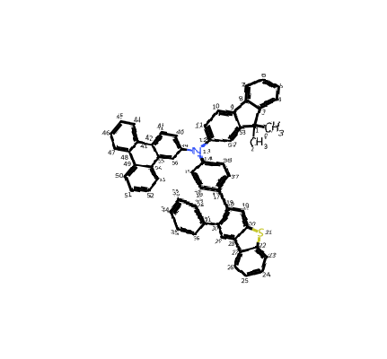 CC1(C)c2ccccc2-c2ccc(N(c3ccc(-c4cc5sc6ccccc6c5cc4-c4ccccc4)cc3)c3ccc4c5ccccc5c5ccccc5c4c3)cc21